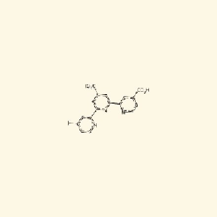 O=C(O)c1ccnc(-c2cc(C(=O)O)cc(-c3cc(I)ccn3)n2)c1